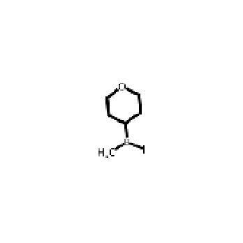 CB(I)C1CCOCC1